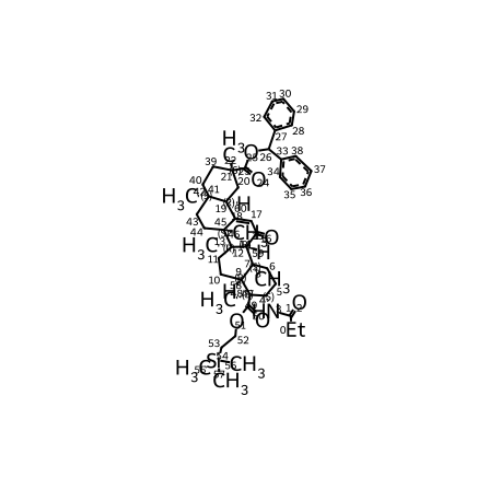 CCC(=O)N[C@H]1CC[C@@]2(C)[C@@H](CC[C@]3(C)[C@@H]2C(=O)C=C2[C@@H]4C[C@@](C)(C(=O)OC(c5ccccc5)c5ccccc5)CC[C@]4(C)CC[C@]23C)[C@]1(C)C(=O)OCC[Si](C)(C)C